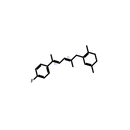 CC1=CC(C/C(C)=C/C=C(\C)c2ccc(F)cc2)=C(C)CC1